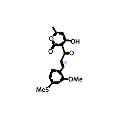 COc1cc(SC)ccc1/C=C/C(=O)c1c(O)cc(C)oc1=O